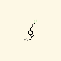 CC(C)(C)CC1Cc2cc(CCCCCl)ccc21